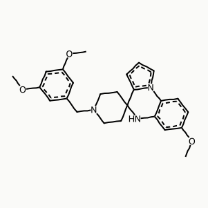 COc1cc(CN2CCC3(CC2)Nc2cc(OC)ccc2-n2cccc23)cc(OC)c1